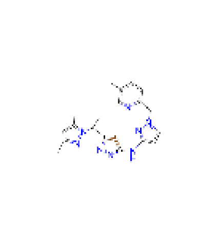 Cc1ccc(Cn2ccc(Nc3nnc(C(C)n4nc(C)cc4C)s3)n2)nc1